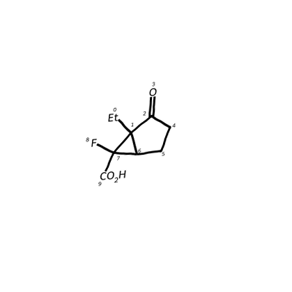 CCC12C(=O)CCC1C2(F)C(=O)O